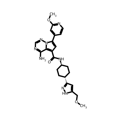 COCc1cc([C@H]2CC[C@H](NC(=O)c3cc(-c4ccnc(OC)c4)n4ncnc(N)c34)CC2)n[nH]1